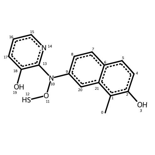 Cc1c(O)ccc2ccc(N(OS)c3ncccc3O)cc12